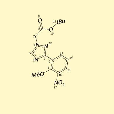 COc1c(-c2ncn(CC(=O)OC(C)(C)C)n2)cccc1[N+](=O)[O-]